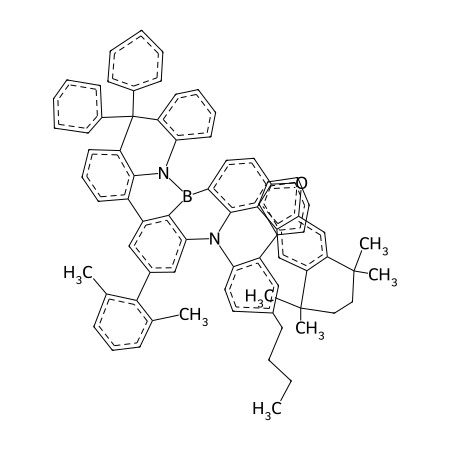 CCCCc1ccc(N2c3cc(-c4c(C)cccc4C)cc4c3B(c3ccc5oc6cc7c(cc6c5c32)C(C)(C)CCC7(C)C)N2c3ccccc3C(c3ccccc3)(c3ccccc3)c3cccc-4c32)c(-c2ccccc2)c1